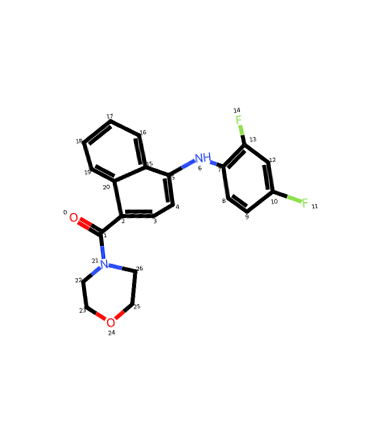 O=C(c1ccc(Nc2ccc(F)cc2F)c2ccccc12)N1CCOCC1